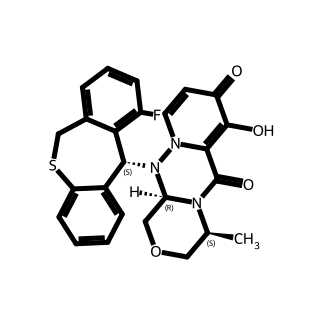 C[C@H]1COC[C@@H]2N1C(=O)c1c(O)c(=O)ccn1N2[C@@H]1c2ccccc2SCc2cccc(F)c21